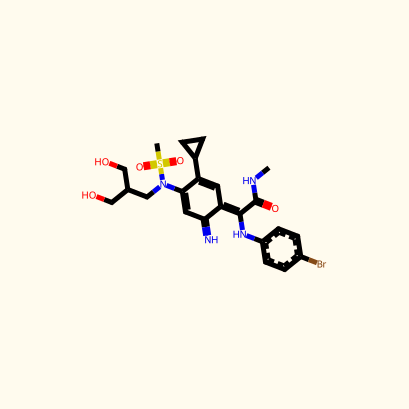 CNC(=O)/C(Nc1ccc(Br)cc1)=C1\C=C(C2CC2)C(N(CC(CO)CO)S(C)(=O)=O)=CC1=N